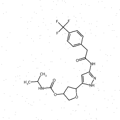 CC(C)NC(=O)OC1COC(c2cc(NC(=O)Cc3ccc(C(F)(F)F)cc3)n[nH]2)C1